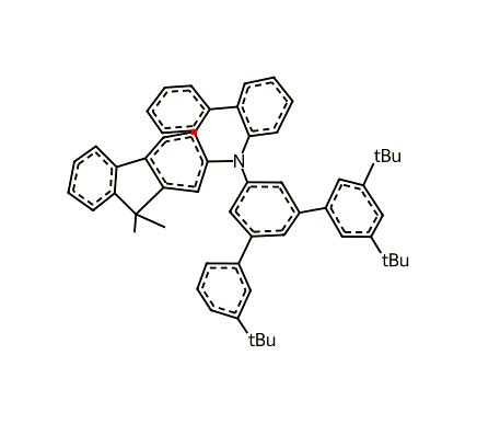 CC(C)(C)c1cccc(-c2cc(-c3cc(C(C)(C)C)cc(C(C)(C)C)c3)cc(N(c3ccc4c(c3)C(C)(C)c3ccccc3-4)c3ccccc3-c3ccccc3)c2)c1